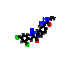 CC(C)NC(=O)Nc1ccc2c(c1)CN(C(=O)C(N)Cc1ccc(Cl)cc1Cl)C2